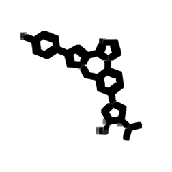 CN(C)[C@@H]1CN(c2ccc3c(c2)Cn2cc(-c4ccc(F)cc4)cc2-c2nccn2-3)C[C@H]1O